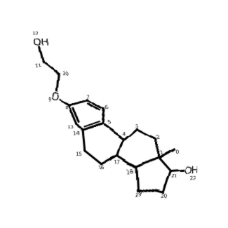 CC12CCC3c4ccc(OCCO)cc4CCC3C1CCC2O